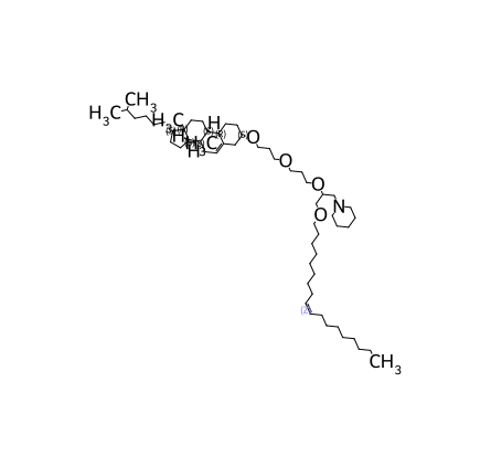 CCCCCCCC/C=C\CCCCCCCCOCC(CN1CCCCC1)OCCCOCCCO[C@H]1CC[C@@]2(C)C(=CC[C@H]3[C@@H]4CC[C@H](CCCCC(C)C)[C@@]4(C)CC[C@@H]32)C1